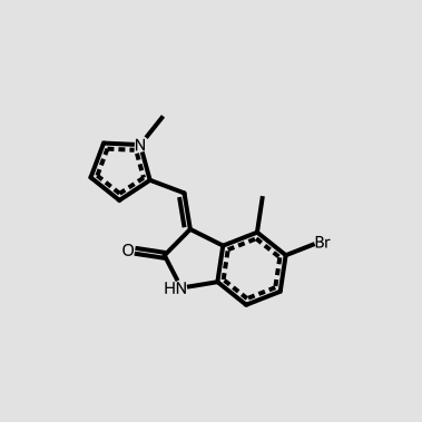 Cc1c(Br)ccc2c1C(=Cc1cccn1C)C(=O)N2